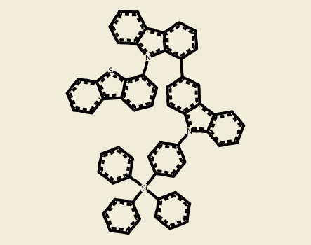 c1ccc([Si](c2ccccc2)(c2ccccc2)c2ccc(-n3c4ccccc4c4cc(-c5cccc6c7ccccc7n(-c7cccc8c7sc7ccccc78)c56)ccc43)cc2)cc1